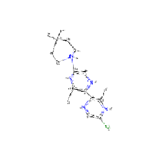 Cc1nc(Cl)cnc1-c1ncc(N2CCC(C)(C)CC2)nc1C